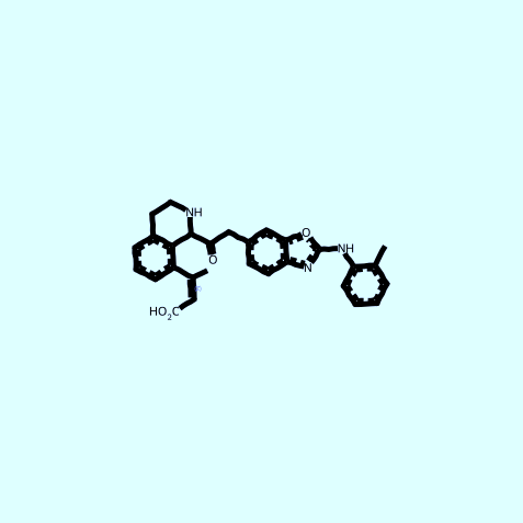 C/C(=C/C(=O)O)c1cccc2c1C(C(=O)Cc1ccc3nc(Nc4ccccc4C)oc3c1)NCC2